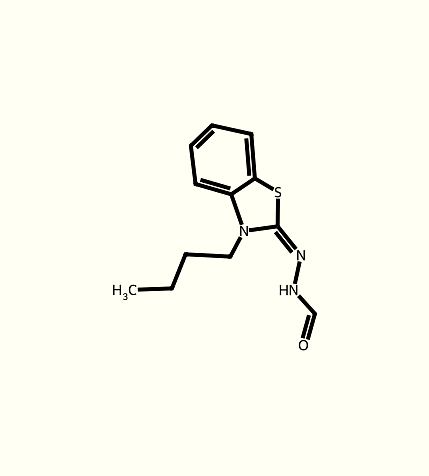 CCCCn1c(=NNC=O)sc2ccccc21